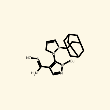 CC(C)(C)n1ncc(C(N)=NC#N)c1N1CC=CN1C12CC3CC(CC(C3)C1)C2